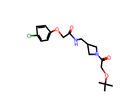 CC(C)(C)OCC(=O)N1CC(CNC(=O)COc2ccc(Cl)cc2)C1